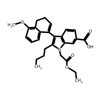 CCCCc1c(C2=CCCc3c(OC)cccc32)c2ccc(C(=O)O)cc2n1CC(=O)OCC